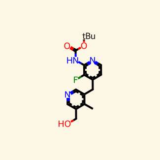 Cc1c(CO)cncc1Cc1ccnc(NC(=O)OC(C)(C)C)c1F